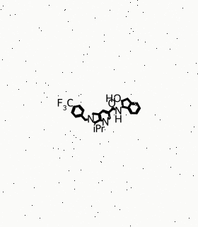 CC(C)[C@H]1c2ncc(C(=O)N[C@H]3c4ccccc4C[C@H]3O)cc2CN1Cc1ccc(C(F)(F)F)cc1